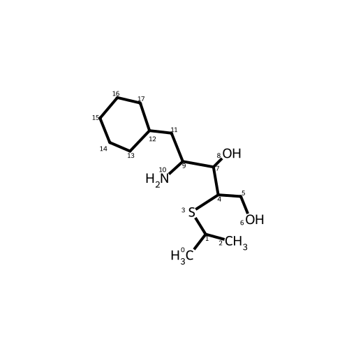 CC(C)SC(CO)C(O)C(N)CC1CCCCC1